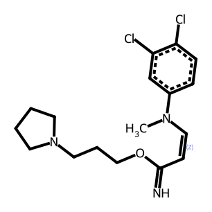 CN(/C=C\C(=N)OCCCN1CCCC1)c1ccc(Cl)c(Cl)c1